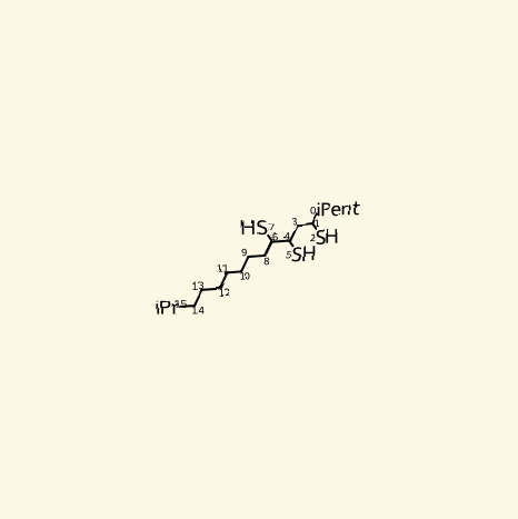 CCCC(C)C(S)CC(S)C(S)CCCCCCCC(C)C